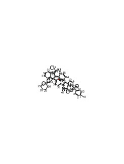 Cc1ccc(S(=O)(=O)n2ccc3c(-c4ccc5nc(Cl)nc(C(COC6CCCCO6)(c6ccccc6)c6ccccc6)c5c4)cn(C)c(=O)c32)cc1